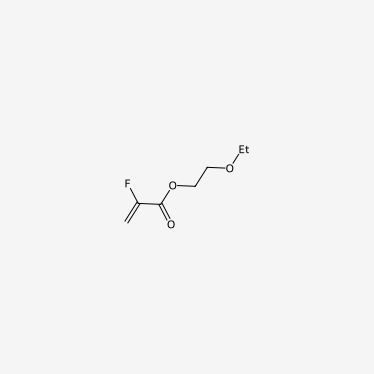 C=C(F)C(=O)OCCOCC